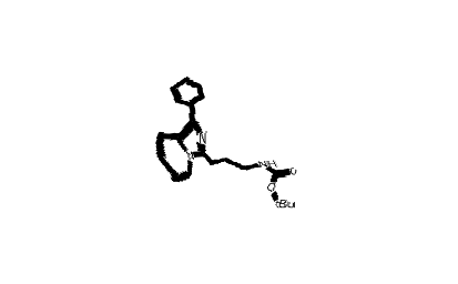 CC(C)(C)OC(=O)NCCCc1nc(-c2ccccc2)c2ccccn12